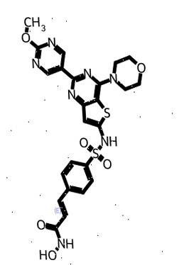 COc1ncc(-c2nc(N3CCOCC3)c3sc(NS(=O)(=O)c4ccc(/C=C/C(=O)NO)cc4)cc3n2)cn1